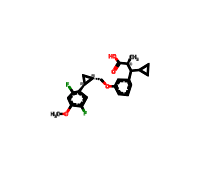 COc1cc(F)c([C@H]2C[C@@H]2COc2cccc(C(C3CC3)[C@H](C)C(=O)O)c2)cc1F